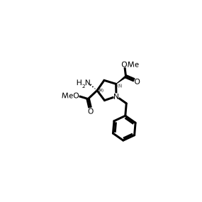 COC(=O)[C@@H]1C[C@](N)(C(=O)OC)CN1Cc1ccccc1